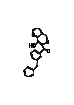 O=C(c1cccc(Cc2ccccc2)c1)c1ncc2cccnc2c1O